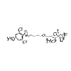 Oc1cc(Cl)c(OCCCCCOCCC(O)C(Cl)(Cl)C(F)(F)F)c(Cl)c1